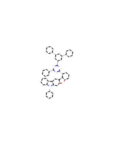 c1ccc(-c2cc(-c3ccccc3)cc(-c3nc(-c4ccccc4)nc(-c4cccc5oc6cc7c(cc6c45)c4ccccc4n7-c4ccccc4)n3)c2)cc1